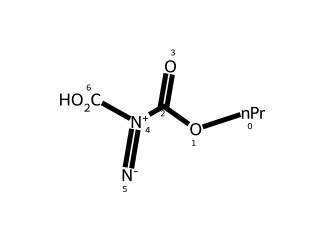 CCCOC(=O)[N+](=[N-])C(=O)O